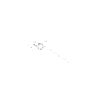 CCCc1c(OCCCNCOCCCBr)ccc2c(C(F)(F)F)noc12